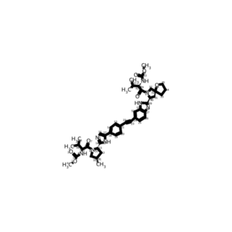 COC(=O)N[C@H](C(=O)N1C[C@H](C)C[C@H]1c1ncc(-c2ccc(C#Cc3ccc4nc([C@@H]5C[C@@]6(CCCO6)CN5C(=O)[C@@H](NC(=O)OC)C(C)C)[nH]c4c3)cc2)[nH]1)C(C)C